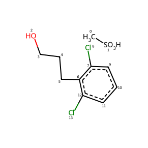 CS(=O)(=O)O.OCCCc1c(Cl)cccc1Cl